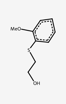 COc1ccccc1SCCO